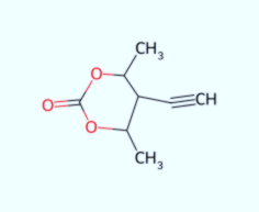 C#CC1C(C)OC(=O)OC1C